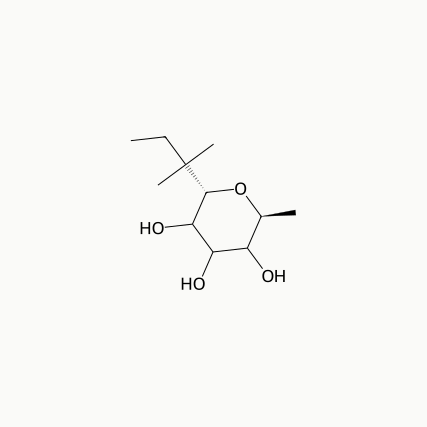 CCC(C)(C)[C@@H]1O[C@@H](C)C(O)C(O)C1O